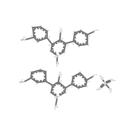 CCCc1cccc(-c2c[n+](CC)cc(-c3ccc(F)cc3)c2Cl)c1.CCCc1cccc(-c2c[n+](CC)cc(-c3ccc(F)cc3)c2Cl)c1.O=S(=O)([O-])[O-]